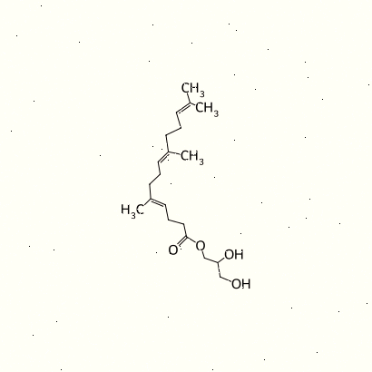 CC(C)=CCC/C(C)=C/CCC(C)=CCCC(=O)OCC(O)CO